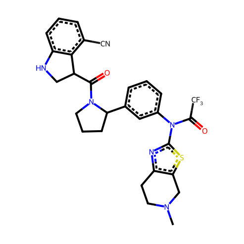 CN1CCc2nc(N(C(=O)C(F)(F)F)c3cccc(C4CCCN4C(=O)C4CNc5cccc(C#N)c54)c3)sc2C1